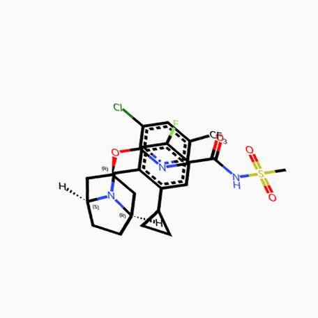 CS(=O)(=O)NC(=O)c1cc(C2CC2)c(CN2[C@@H]3CC[C@H]2C[C@@H](Oc2ncc(C(F)(F)F)cc2Cl)C3)cc1F